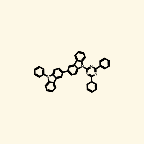 C1=CCC(c2nc(-c3ccccc3)nc(-n3c4ccccc4c4cc(-c5ccc6c(c5)c5ccccc5n6-c5ccccc5)ccc43)n2)C=C1